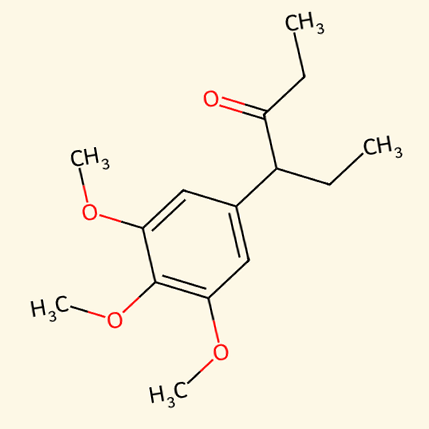 CCC(=O)C(CC)c1cc(OC)c(OC)c(OC)c1